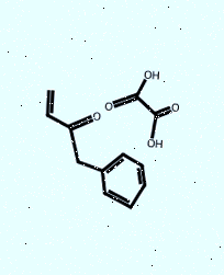 C=CC(=O)Cc1ccccc1.O=C(O)C(=O)O